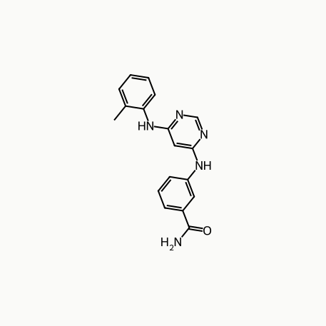 Cc1ccccc1Nc1cc(Nc2cccc(C(N)=O)c2)ncn1